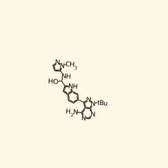 Cn1nccc1NC(O)c1cc2ccc(-c3nn(C(C)(C)C)c4ncnc(N)c34)cc2[nH]1